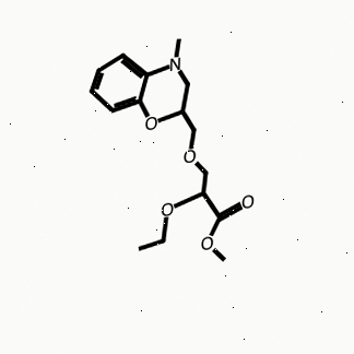 CCOC(COCC1CN(C)c2ccccc2O1)C(=O)OC